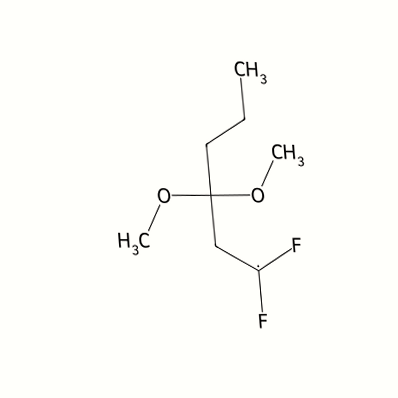 CCCC(C[C](F)F)(OC)OC